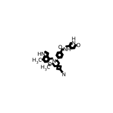 COc1cc(C)c2[nH]ccc2c1CN1CCC2(CC(C#N)C2)C[C@H]1c1ccc(C(=O)NCc2ccc(=O)[nH]c2)cc1